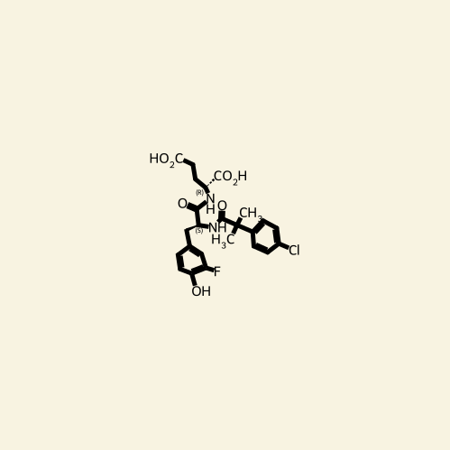 CC(C)(C(=O)N[C@@H](Cc1ccc(O)c(F)c1)C(=O)N[C@H](CCC(=O)O)C(=O)O)c1ccc(Cl)cc1